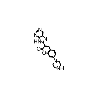 O=c1oc2cc(N3CCNCC3)ccc2cc1-c1nc2cncnc2[nH]1